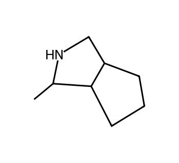 CC1NCC2CCCC21